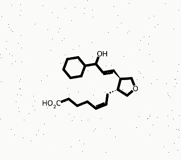 O=C(O)CCC/C=C\C[C@H]1COC[C@@H]1/C=C/C(O)C1CCCCC1